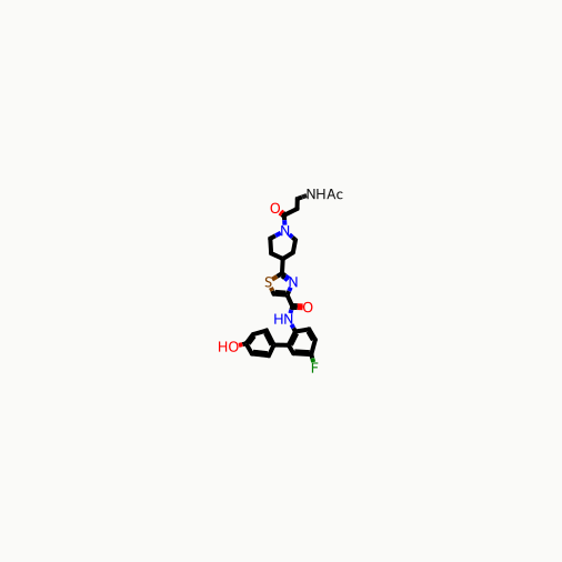 CC(=O)NCCC(=O)N1CCC(c2nc(C(=O)Nc3ccc(F)cc3-c3ccc(O)cc3)cs2)CC1